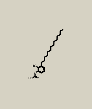 CCCCCCCCCCCCCCc1cccc(OC(=O)O)c1O